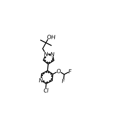 CC(C)(O)Cn1cc(-c2cnc(Cl)cc2OC(F)F)cn1